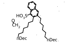 C=O.CCCCCCCCCCCCCCCCc1cc2ccccc2c(S(=O)(=O)O)c1CCCCCCCCCCCCCCCC